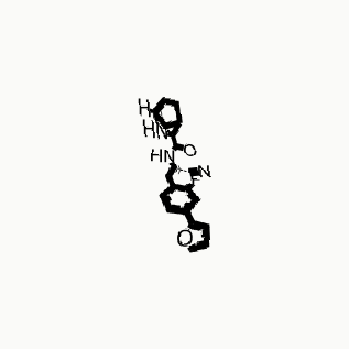 N#C[C@H](Cc1ccc(-c2ccco2)cc1F)NC(=O)C1N[C@@H]2CCC1C2